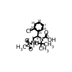 CC(C)(C)N(C(=O)O)C(CNS(C)(=O)=O)c1ccccc1Cl